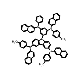 Cc1ccc(N(c2cc(N(c3ccccc3)c3ccc4ccccc4c3)cc(-n3c4ccc(N(c5ccc(C)cc5)c5ccc6ccccc6c5)cc4c4cc(N(c5ccc(C)cc5)c5ccc6ccccc6c5)ccc43)c2)c2ccc3ccccc3c2)cc1